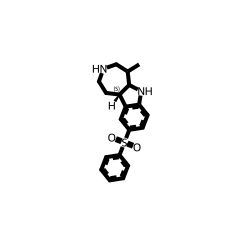 CC1CNCC[C@H]2c3cc(S(=O)(=O)c4ccccc4)ccc3NC12